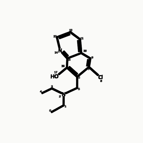 CCN(CC)Cc1c(Cl)cc2cccnc2c1O